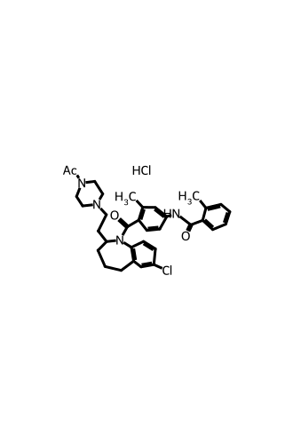 CC(=O)N1CCN(CCC2CCCc3cc(Cl)ccc3N2C(=O)c2ccc(NC(=O)c3ccccc3C)cc2C)CC1.Cl